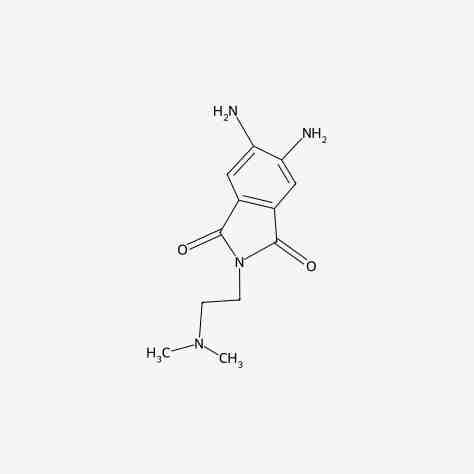 CN(C)CCN1C(=O)c2cc(N)c(N)cc2C1=O